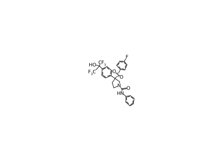 O=C(Nc1ccccc1)N1CCC(c2ccc(C(O)(C(F)(F)F)C(F)(F)F)cc2)(S(=O)(=O)c2ccc(F)cc2)C1